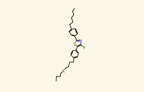 CCCCCCCCCc1ccc(-c2sc(-c3ccc(CCCCCC)cc3)nc2F)cc1